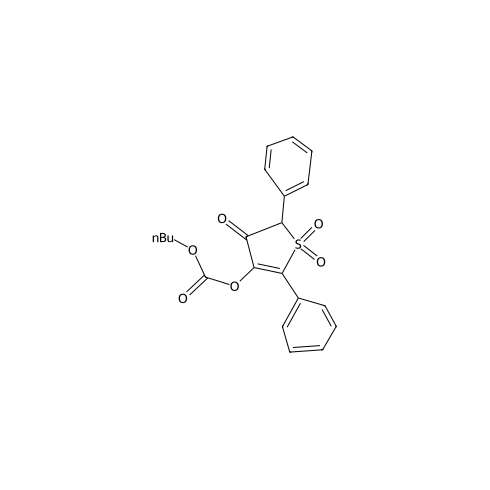 CCCCOC(=O)OC1=C(c2ccccc2)S(=O)(=O)C(c2ccccc2)C1=O